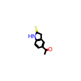 CC(=O)c1ccc2c(c1)CC(=S)N2